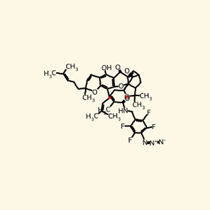 CC(C)=CCCC1(C)C=Cc2c(O)c3c(c(CC=C(C)C)c2O1)OC12C(=CC4CC1C(C)(C)OC2(C/C=C(/C)C(=O)NCc1c(F)c(F)c(N=[N+]=[N-])c(F)c1F)C4=O)C3=O